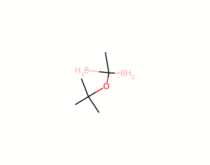 BC(B)(C)OC(C)(C)C